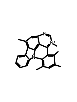 Cc1cc(C)c2c(c1C)c1c3c(cc(C)c4c5ccccc5n2c43)nc[n+]1C